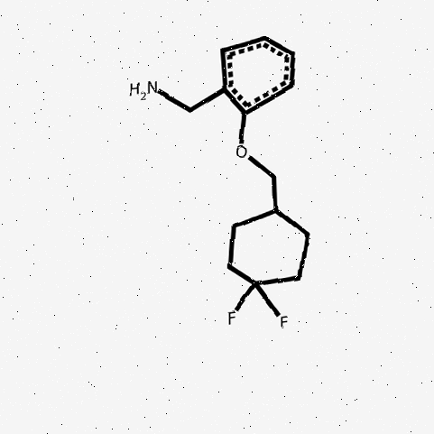 NCc1ccccc1OCC1CCC(F)(F)CC1